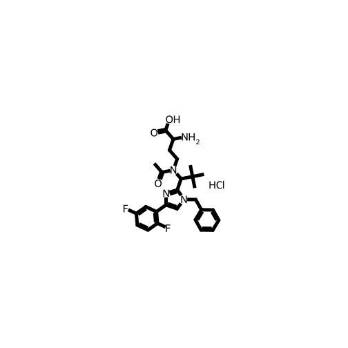 CC(=O)N(CCC(N)C(=O)O)C(c1nc(-c2cc(F)ccc2F)cn1Cc1ccccc1)C(C)(C)C.Cl